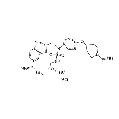 CC(=N)N1CCC(Oc2ccc(N(Cc3ccc4ccc(C(=N)N)cc4c3)S(=O)(=O)NCC(=O)O)cc2)CC1.Cl.Cl